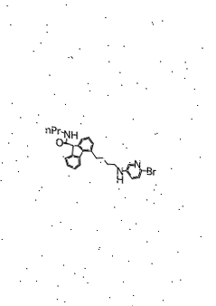 CCCNC(=O)C1c2ccccc2-c2c(CCCCNc3ccc(Br)nc3)cccc21